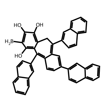 Bc1c(O)c(O)c2c(c1O)C(c1ccc3ccccc3c1)=c1ccc(-c3ccc4ccccc4c3)cc1=C(c1ccc3ccccc3c1)C2